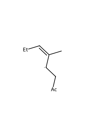 CCC=C(C)[CH]CC(C)=O